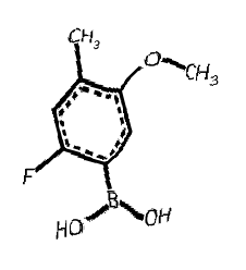 COc1cc(B(O)O)c(F)cc1C